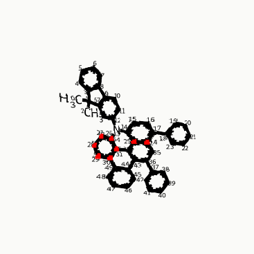 CC1(C)c2ccccc2-c2ccc(N(c3ccc(-c4ccccc4)cc3)c3ccccc3-c3cccc(-c4ccccc4)c3-c3ccccc3-c3ccccc3)cc21